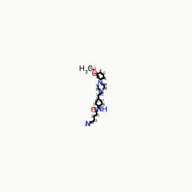 CCOc1cccc(N2CCN(CCC3CCC(NC(=O)CCCC#N)CC3)CC2)c1